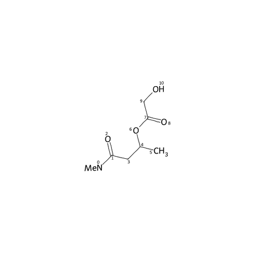 CNC(=O)CC(C)OC(=O)CO